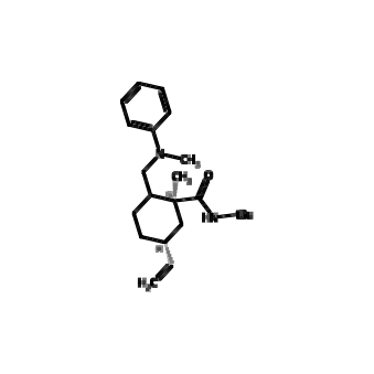 C=C[C@@H]1CCC(CN(C)c2ccccc2)[C@@](C)(C(=O)NC(C)(C)C)C1